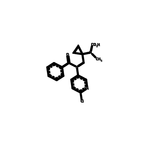 CN(C(=O)O)C1(CN(C(=O)c2ccccc2)c2ccc(Cl)nc2)CC1